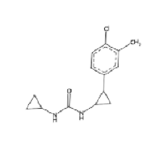 Cc1cc(C2CC2NC(=O)NC2CC2)ccc1Cl